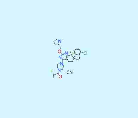 C=C(F)C(=O)N1CCN(c2nc(OC[C@@H]3CCCN3C)nc3c2CC[C@@]2(CCc4c(Cl)cccc42)C3(C)F)C[C@@H]1CC#N